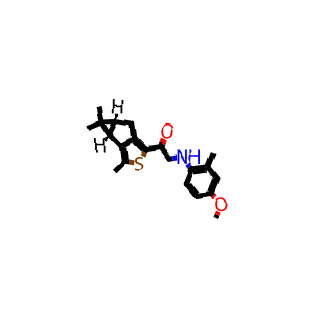 COc1ccc(NCC(=O)c2sc(C)c3c2C[C@@H]2[C@H]3C2(C)C)c(C)c1